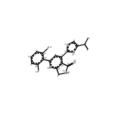 CC(C)c1csc(-c2cc(-c3c(F)cccc3F)nc3c2C(=O)NC3)n1